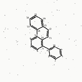 [c]1cccc(-c2cccc3c2ccc2ccccc23)c1